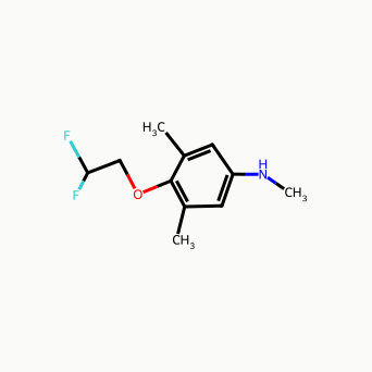 CNc1cc(C)c(OCC(F)F)c(C)c1